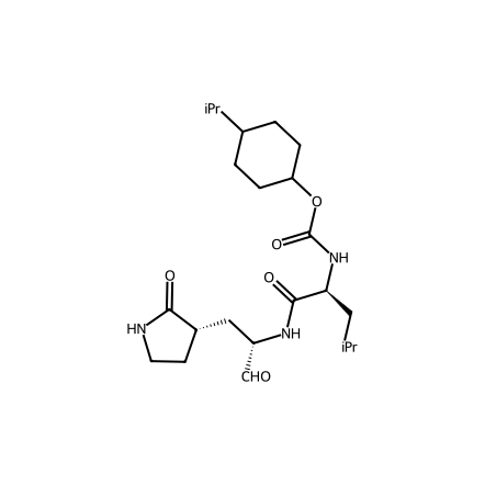 CC(C)C[C@H](NC(=O)OC1CCC(C(C)C)CC1)C(=O)N[C@H](C=O)C[C@@H]1CCNC1=O